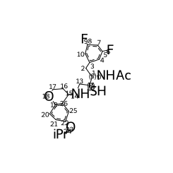 CC(=O)N[C@@H](Cc1cc(F)cc(F)c1)[C@H](S)CNC1CCOc2ccc(OC(C)C)cc21